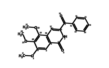 COc1cc2c(=O)[nH]c(C(=O)c3ccccc3)nc2c(OC)c1OC